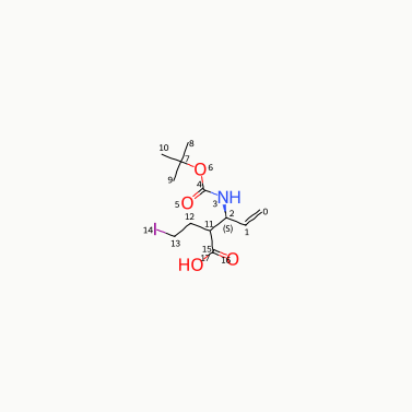 C=C[C@H](NC(=O)OC(C)(C)C)C(CCI)C(=O)O